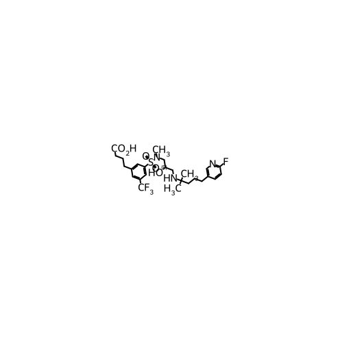 CN(C[C@H](O)CNC(C)(C)CCCc1ccc(F)nc1)S(=O)(=O)c1cc(CCCC(=O)O)cc(C(F)(F)F)c1